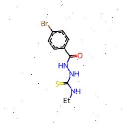 CCNC(=S)NNC(=O)c1ccc(Br)cc1